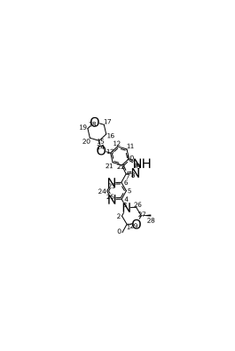 CC1CN(c2cc(-c3n[nH]c4ccc(OC5CCOCC5)cc34)ncn2)C[C@@H](C)O1